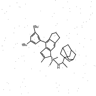 CC1=Cc2c(cc3c(c2-c2cc(C(C)(C)C)cc(C(C)(C)C)c2)CCC3)C1[Si](C)(C)NC(C)C12CC3CC(CC(C3)C1)C2